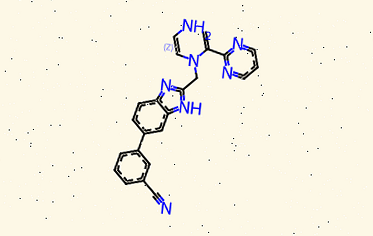 C=C(c1ncccn1)N(/C=C\N)Cc1nc2ccc(-c3cccc(C#N)c3)cc2[nH]1